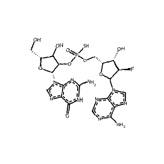 Nc1nc2c(ncn2[C@@H]2O[C@H](CO)C(O)C2OP(=O)(S)OC[C@H]2OC(n3cnc4c(N)ncnc43)[C@H](F)[C@H]2O)c(=O)[nH]1